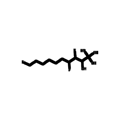 OC(C(F)C(F)CCCCCCF)C(O)(O)O